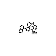 CC(C)(C)N(c1ccc(-c2cccc3ccccc23)cc1)c1cccc2sc3ccccc3c12